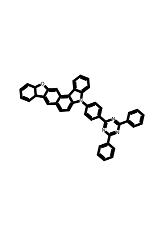 C1=CC2Oc3cc4c(ccc5c4c4ccccc4n5-c4ccc(-c5nc(-c6ccccc6)nc(-c6ccccc6)n5)cc4)cc3C2C=C1